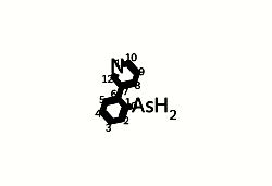 [AsH2]c1ccccc1-c1cccnc1